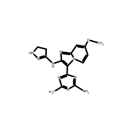 COc1ccn2c(-c3nc(C)nc(N)n3)c(NC3=NNCC3)nc2c1